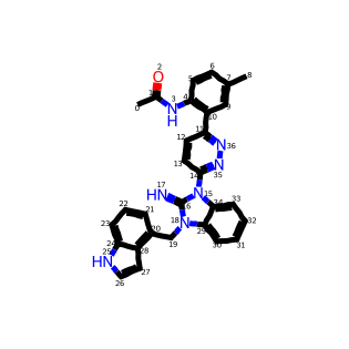 CC(=O)Nc1ccc(C)cc1-c1ccc(-n2c(=N)n(Cc3cccc4[nH]ccc34)c3ccccc32)nn1